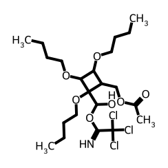 CCCCOC1C(COC(C)=O)C(OCCCC)(C(O)OC(=N)C(Cl)(Cl)Cl)C1OCCCC